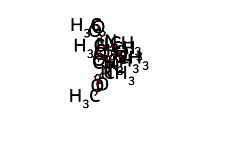 CCCCOC(=O)c1cccc(CCN(C)CCCC(C#N)(c2ccc(OC)c(OC)c2)C(C)Cc2cc(C(=O)OC)cc(C(C#N)(CCCN(C)CCc3cccc(C(=O)OC)c3)C(C)C)c2)c1